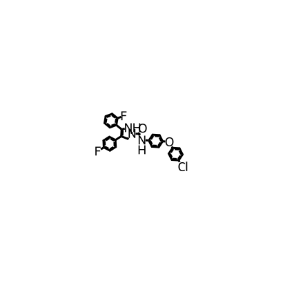 O=C(Nc1ccc(Oc2ccc(Cl)cc2)cc1)N1CC(c2ccc(F)cc2)=C(c2ccccc2F)N1